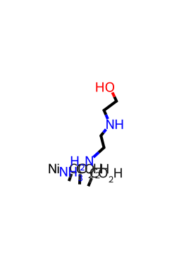 CC(=O)O.CC(=O)O.CC(=O)O.N.NCCNCCO.[Ni]